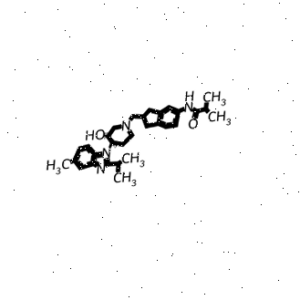 Cc1ccc2c(c1)nc(C(C)C)n2[C@@H]1CCN(CC2Cc3ccc(NC(=O)C(C)C)cc3C2)C[C@H]1O